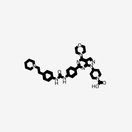 O=C(Nc1ccc(CCN2CCCCC2)cc1)Nc1ccc(-c2nc(N3CCOCC3)c3cnn(C4CCN(C(=O)O)CC4)c3n2)cc1